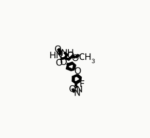 CCOCCC1(Oc2ccc(Oc3ccc(-c4nnco4)c(F)c3)cc2)C(=O)NC(=O)NC1=O